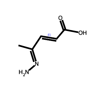 CC(/C=C/C(=O)O)=NN